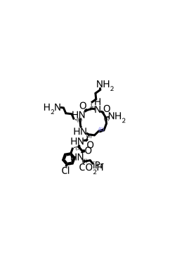 CC(C)C[C@H](NC(=O)[C@H](Cc1ccc(Cl)cc1)NC(=O)[C@@H]1C/C=C/C[C@H](N)C(=O)N[C@@H](CCCCN)C(=O)N[C@@H](CCCCN)CN1)C(=O)O